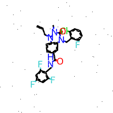 C=CCN1c2ccc(C(=O)NCc3c(F)cc(F)cc3F)cc2N(Cc2c(F)cccc2Cl)C(=O)N1C